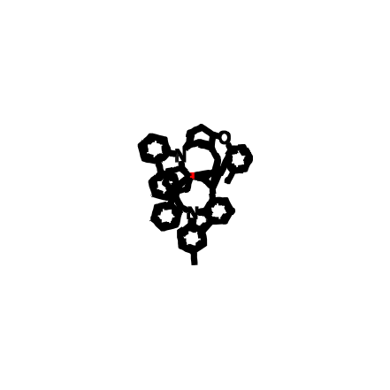 Cc1ccc2c(c1)c1cccc3c1n2CCC1CC2C4C5=CC6=CCC5Oc5cccc(C)c5C34C2C12CC(c1ccccc1)CCC2N6c1ccccc1-c1ccccc1